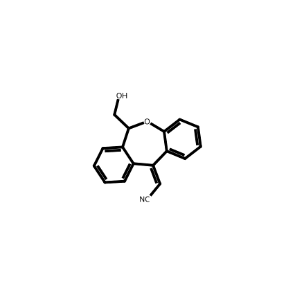 N#CC=C1c2ccccc2OC(CO)c2ccccc21